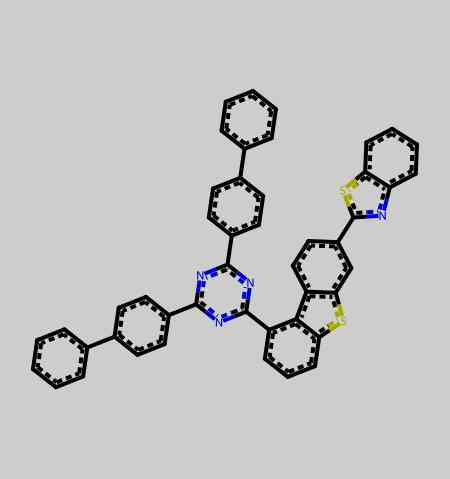 c1ccc(-c2ccc(-c3nc(-c4ccc(-c5ccccc5)cc4)nc(-c4cccc5sc6cc(-c7nc8ccccc8s7)ccc6c45)n3)cc2)cc1